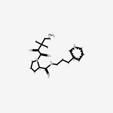 CCC(C)(C)C(=O)C(=O)N1CCCC1C(=O)OCCCc1cccnc1.[PbH2]